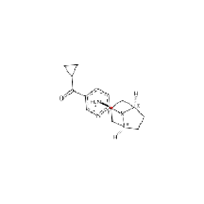 N[C@H]1C[C@H]2CC[C@@H](C1)N2c1ccc(C(=O)C2CC2)cn1